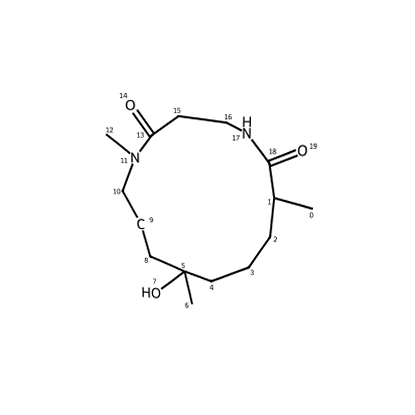 CC1CCCC(C)(O)CCCN(C)C(=O)CCNC1=O